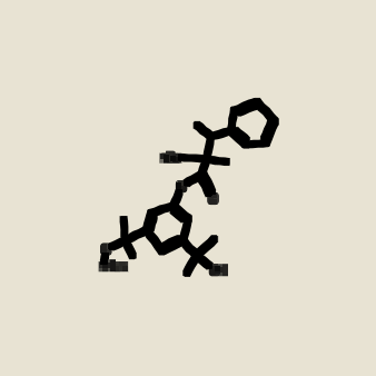 CCCCCCOC(C)(C)c1cc(OC(=O)C(C)(CCCC)C(C)c2ccccc2)cc(C(C)(C)O)c1